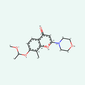 COC(C)Oc1ccc2c(=O)cc(N3CCOCC3)oc2c1C